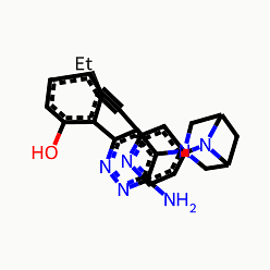 CCC#Cc1cc(N2C3CC2CN(c2cc(-c4ccccc4O)nnc2N)C3)ccn1